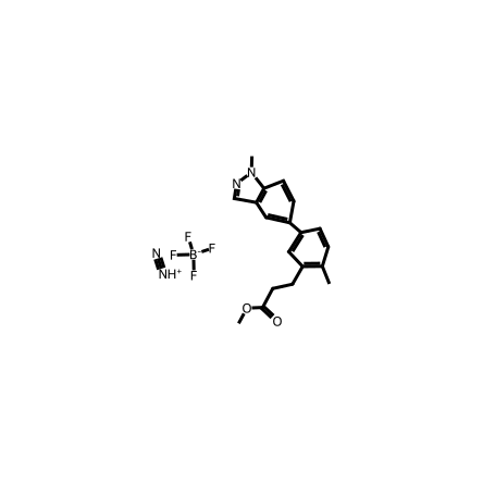 COC(=O)CCc1cc(-c2ccc3c(cnn3C)c2)ccc1C.F[B-](F)(F)F.N#[NH+]